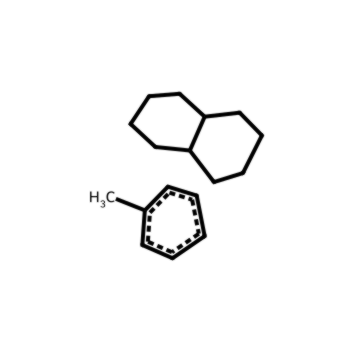 C1CCC2CCCCC2C1.Cc1ccccc1